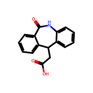 O=C(O)CC1c2ccccc2NC(=O)c2ccccc21